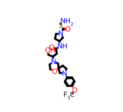 NSC(=O)N1CCC(NC(=O)CC(CO)N2CCOC3(CCN(c4ccc(OC(F)(F)F)cc4)C3)C2)C1